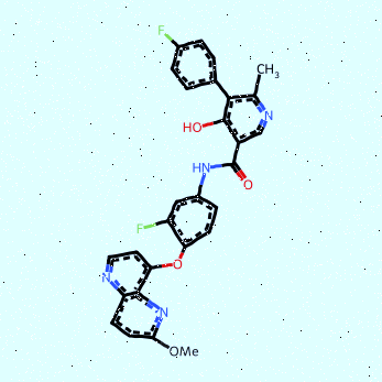 COc1ccc2nccc(Oc3ccc(NC(=O)c4cnc(C)c(-c5ccc(F)cc5)c4O)cc3F)c2n1